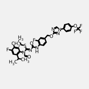 CCS/C(=N\C(=O)Nc1ccc(COc2ncn(-c3ccc(OC(F)(F)F)cc3)n2)cc1F)N(C=O)c1cc(C)c(F)cc1C(C)C